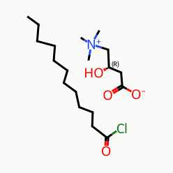 CCCCCCCCCCCC(=O)Cl.C[N+](C)(C)C[C@H](O)CC(=O)[O-]